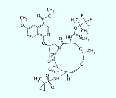 CC[C@@H]1C[C@H](C)CC/C=C\[C@@H]2C[C@@]2(C(=O)NS(=O)(=O)C2(C)CC2)NC(=O)[C@@H]2C[C@@H](Oc3ncc(C(=O)OC)c4cc(OC)ccc34)CN2C(=O)[C@H]1NC(=O)OC(C)(C)C(F)(F)F